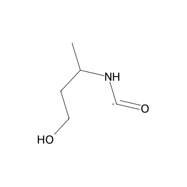 CC(CCO)N[C]=O